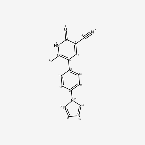 Cc1[nH]c(=O)c(C#N)cc1-c1ccc(-n2cncn2)cc1